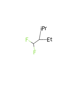 CCC(C(C)C)C(F)F